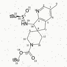 Cc1cnc2c(c1)CC1(CCN(C(=O)OC(C)(C)C)CC1)C2N[S@+]([O-])C(C)(C)C